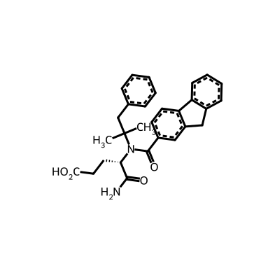 CC(C)(Cc1ccccc1)N(C(=O)c1ccc2c(c1)Cc1ccccc1-2)[C@@H](CCC(=O)O)C(N)=O